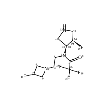 O=C(N(CCN1CC(F)C1)[C@H]1CNC[C@H]1F)C(F)(F)F